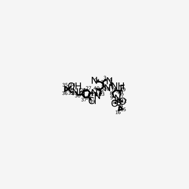 N#Cc1cnc(N[C@H]2CCN(S(=O)(=O)C3CC3)C[C@H]2F)nc1-c1cnn(-c2ccc(CNCC3(O)CC3)cc2Cl)c1